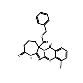 Cc1nc2c(F)cccc2c(=O)n1C1(C(=O)OCc2ccccc2)CCCC(=O)NC1=O